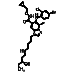 CCC(O)CCNCCCCn1cnc2c(F)c(Nc3ccc(Br)cc3Cl)c(C(=O)NOCC3CC3)cc21